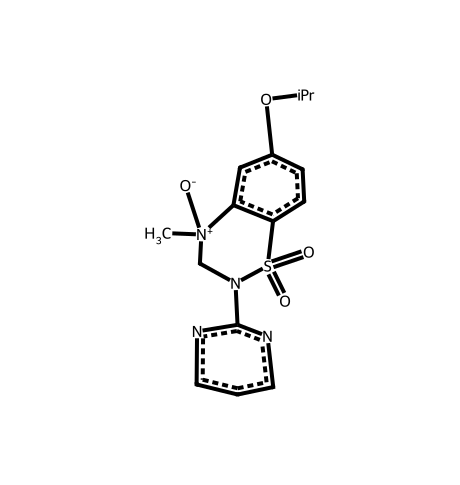 CC(C)Oc1ccc2c(c1)[N+](C)([O-])CN(c1ncccn1)S2(=O)=O